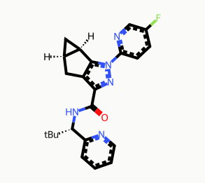 CC(C)(C)[C@H](NC(=O)c1nn(-c2ccc(F)cn2)c2c1C[C@H]1C[C@@H]21)c1ccccn1